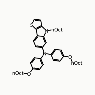 CCCCCCCCOc1ccc(N(c2ccc(OCCCCCCCC)cc2)c2ccc3c4sccc4n(CCCCCCCC)c3c2)cc1